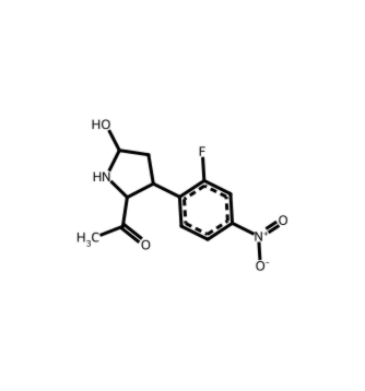 CC(=O)C1NC(O)CC1c1ccc([N+](=O)[O-])cc1F